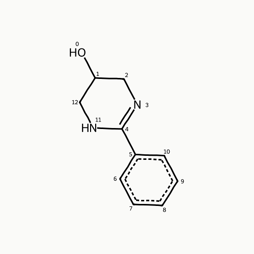 OC1CN=C(c2ccccc2)NC1